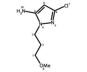 COCCCn1nc(Cl)cc1N